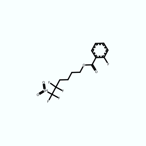 O=C(OCCCCC(F)(F)C(F)(F)[SH](=O)=O)c1ccccc1F